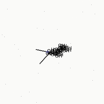 CCCCCCCCCCCCC/C=C/[C@@H](O)[C@H](CO[C@@H]1OC(CO)[C@@H](O[C@@H]2OC(CO)[C@H](O)[C@H](O[C@@H]3OC(CO)[C@@H](O)[C@H](O[C@@H]4OC(CO)[C@H](O)[C@H](O)C4O[C@H]4OC(C)[C@@H](O)C(O)[C@@H]4O)C3NC(C)=O)C2O)[C@H](O)C1O)NC(=O)CCCCCCCCCCCCCCC